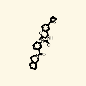 CC12CC(NC(=O)N1c1cccc(C(=O)N3CCc4ccccc4C3)c1)c1cc(-c3cccs3)ccc1O2